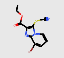 CCOC(=O)c1nc2c(Br)cccn2c1SC#N